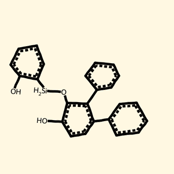 Oc1ccccc1[SiH2]Oc1c(O)ccc(-c2ccccc2)c1-c1ccccc1